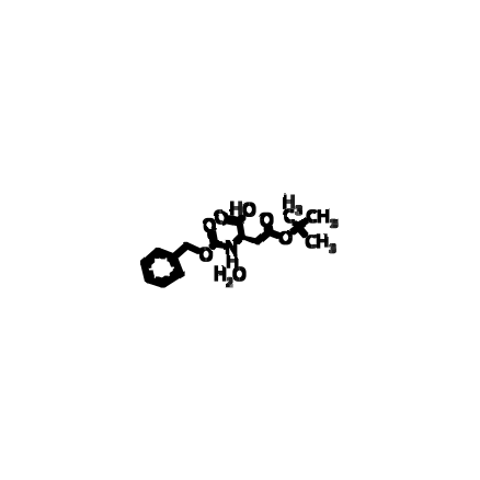 CC(C)(C)OC(=O)C[C@@H](NC(=O)OCc1ccccc1)C(=O)O.O